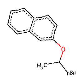 CCCCC(C)Oc1ccc2ccccc2c1